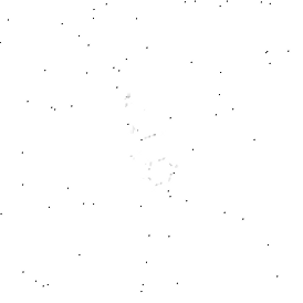 O=C(C(O)c1ccccc1)N1CCC(O)C1